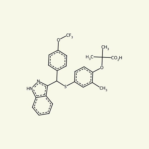 Cc1cc(SC(c2ccc(OC(F)(F)F)cc2)c2n[nH]c3ccccc23)ccc1OC(C)(C)C(=O)O